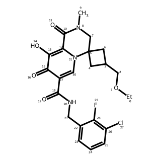 CCOCC1CC2(C1)CN(C)C(=O)c1c(O)c(=O)c(C(=O)NCc3cccc(Cl)c3F)cn12